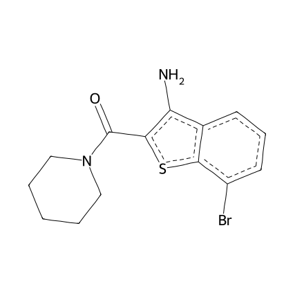 Nc1c(C(=O)N2CCCCC2)sc2c(Br)cccc12